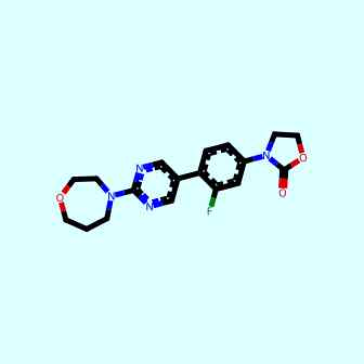 O=C1OCCN1c1ccc(-c2cnc(N3CCCOCC3)nc2)c(F)c1